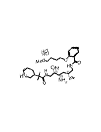 COCCCCOc1ccccc1C(=O)NC[C@@H](C[C@H](N)[C@@H](O)CNC(=O)C(C)(C)C1CCCNC1)C(C)C.Cl.Cl